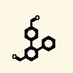 O=Cc1ccc(-c2cc(C=O)ccc2-c2ccccc2)cc1